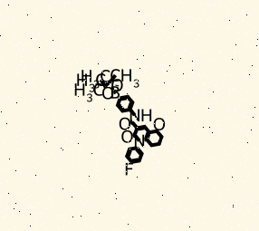 CC1(C)OB(c2ccc(NC(=O)c3cc4c(n(-c5ccc(F)cc5)c3=O)CCCC4=O)cc2)OC1(C)C